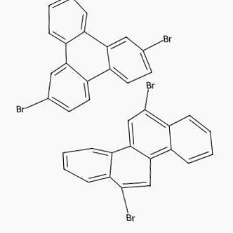 Brc1cc2c3ccccc3c(Br)cc2c2ccccc12.Brc1ccc2c3ccc(Br)cc3c3ccccc3c2c1